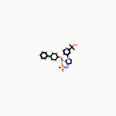 CC(C)(O)c1cc(N2CC[C@H](NS(C)(=O)=O)[C@@H]2COC2CCC(c3ccccc3)CC2)ccn1